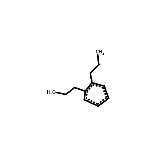 C[C]Cc1ccccc1C[C]C